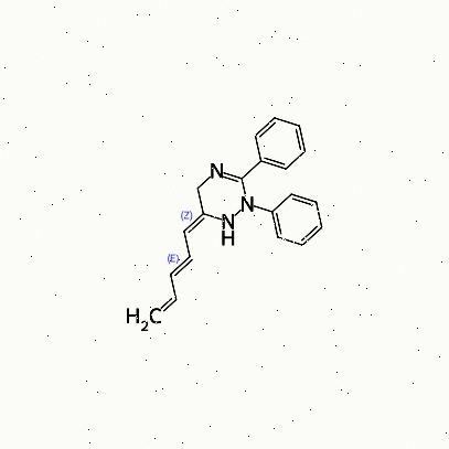 C=C/C=C/C=C1/CN=C(c2ccccc2)N(c2ccccc2)N1